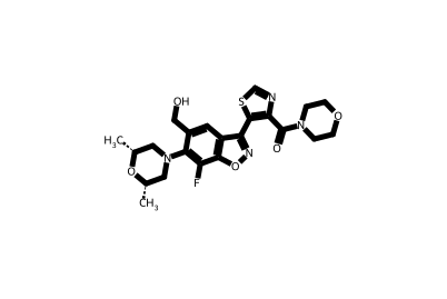 C[C@@H]1CN(c2c(CO)cc3c(-c4scnc4C(=O)N4CCOCC4)noc3c2F)C[C@H](C)O1